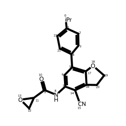 CC(C)c1ccc(-c2cc(NC(=O)C3CO3)c(C#N)c3c2OCC3)cc1